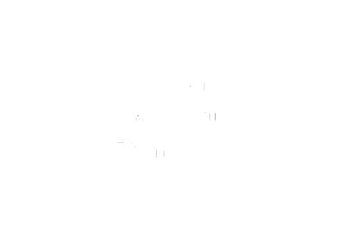 CC[C@@](C)(CC=C(C)C)C(C)=O